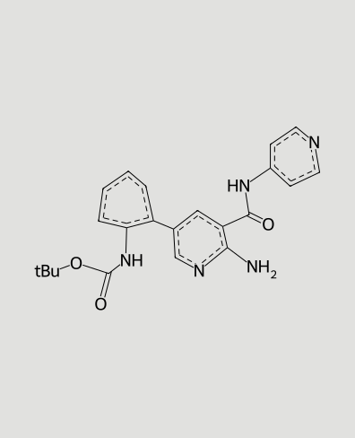 CC(C)(C)OC(=O)Nc1ccccc1-c1cnc(N)c(C(=O)Nc2ccncc2)c1